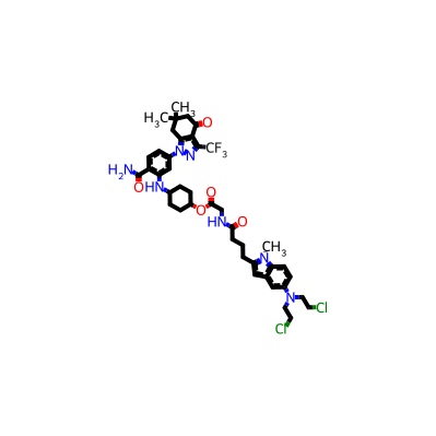 Cn1c(CCCC(=O)NCC(=O)OC2CCC(Nc3cc(-n4nc(C(F)(F)F)c5c4CC(C)(C)CC5=O)ccc3C(N)=O)CC2)cc2cc(N(CCCl)CCCl)ccc21